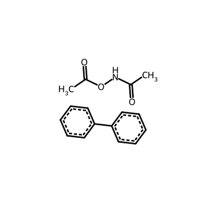 CC(=O)NOC(C)=O.c1ccc(-c2ccccc2)cc1